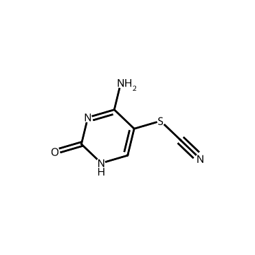 N#CSc1c[nH]c(=O)nc1N